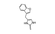 S=c1[nH]cc(Cc2coc3ccccc23)[nH]1